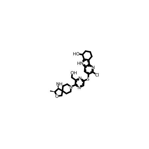 C[C@@H]1OCC2(CCN(c3ncc(Sc4cc5[nH]c6c(c5nc4Cl)CCCC6O)nc3CO)CC2)[C@@H]1N